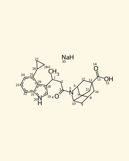 CC(CC(=O)N1C2CC3CC1CC(C(=O)O)(C3)C2)c1c[nH]c2cccc(C3CC3)c12.[NaH]